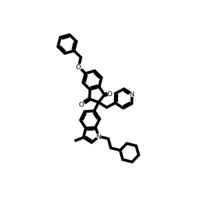 Cc1cn(CCC2CCCCC2)c2cc(C3(Cc4ccncc4)C(=O)c4ccc(OCc5ccccc5)cc4C3=O)ccc12